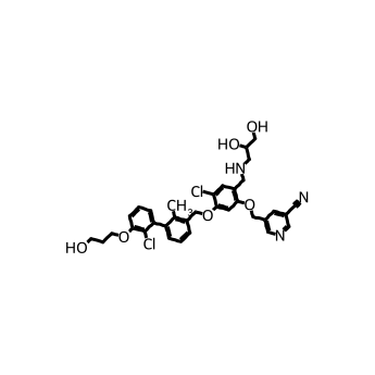 Cc1c(COc2cc(OCc3cncc(C#N)c3)c(CNCC(O)CO)cc2Cl)cccc1-c1cccc(OCCCO)c1Cl